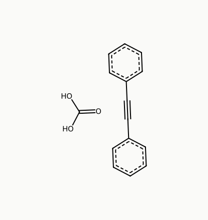 C(#Cc1ccccc1)c1ccccc1.O=C(O)O